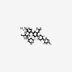 CCc1nc2c(N)ncc(-c3ccc(N4CCC(N5CCN(C)CC5)CC4)c(CC(F)F)c3)c2nc1NC1CCOCC1